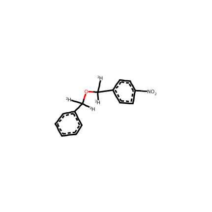 [2H]C([2H])(OC([2H])([2H])c1ccc([N+](=O)[O-])cc1)c1ccccc1